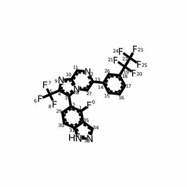 Fc1c(-c2c(C(F)(F)F)nc3cnc(-c4cccc(C(F)(F)C(F)(F)F)c4)cn23)ccc2[nH]ncc12